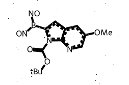 COc1cnc2c(c1)cc(B(N=O)N=O)n2C(=O)OC(C)(C)C